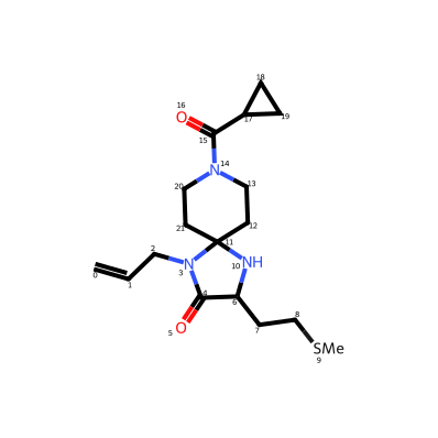 C=CCN1C(=O)C(CCSC)NC12CCN(C(=O)C1CC1)CC2